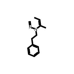 C=NN(CCc1ccccc1)/C(C)=C\C